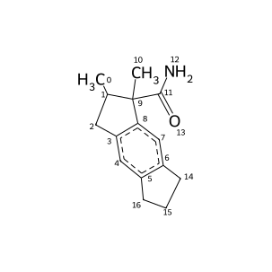 CC1Cc2cc3c(cc2C1(C)C(N)=O)CCC3